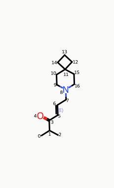 CC(C)C(=O)/C=C/CN1CCC2(CCC2)CC1